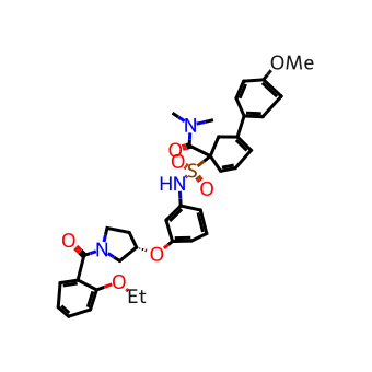 CCOc1ccccc1C(=O)N1CC[C@H](Oc2cccc(NS(=O)(=O)C3(C(=O)N(C)C)C=CC=C(c4ccc(OC)cc4)C3)c2)C1